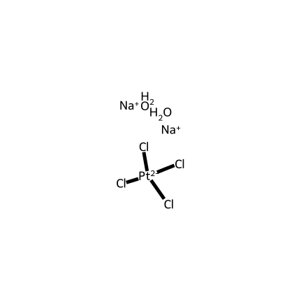 O.O.[Cl][Pt-2]([Cl])([Cl])[Cl].[Na+].[Na+]